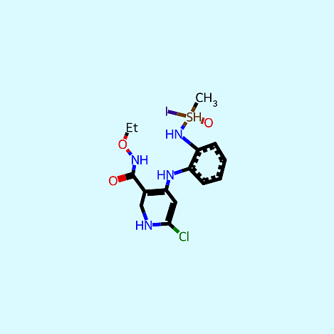 CCONC(=O)C1=C(Nc2ccccc2N[SH](C)(=O)I)C=C(Cl)NC1